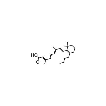 CCCCC1=C(C=CC(C)=CC=CC(C)=CC(=O)O)C(C)(C)CCC1